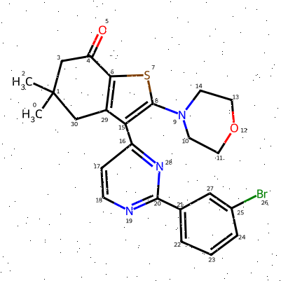 CC1(C)CC(=O)c2sc(N3CCOCC3)c(-c3ccnc(-c4cccc(Br)c4)n3)c2C1